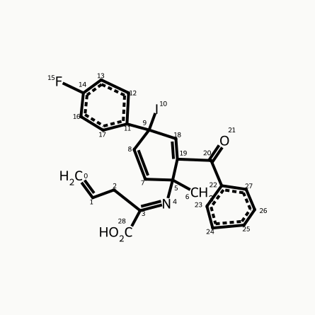 C=CCC(=NC1(C)C=CC(I)(c2ccc(F)cc2)C=C1C(=O)c1ccccc1)C(=O)O